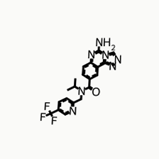 CC(C)N(Cc1ccc(C(F)(F)F)cn1)C(=O)c1ccc2nc(N)n3cnnc3c2c1